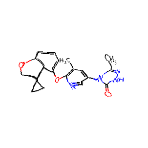 Cc1cc(-n2c(C)n[nH]c2=O)cnc1Oc1cccc2c1C1(CC1)CO2